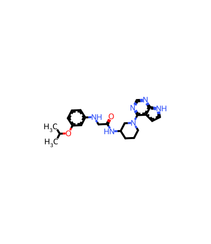 CC(C)Oc1cccc(NCC(=O)NC2CCCN(c3ncnc4[nH]ccc34)C2)c1